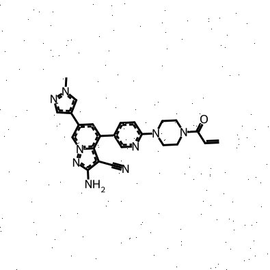 C=CC(=O)N1CCN(c2ccc(-c3cc(-c4cnn(C)c4)cn4nc(N)c(C#N)c34)cn2)CC1